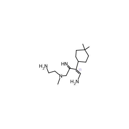 CN(CCN)CC(=N)/C(=C\N)C1CCC(C)(C)CC1